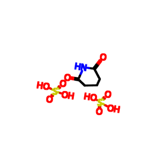 O=C1CCCC(=O)N1.O=S(=O)(O)O.O=S(=O)(O)O